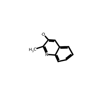 Cc1nc2ccccc2cc1[O]